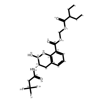 CCC(CC)C(=O)OCOC(=O)c1cccc2c1OB(O)[C@@H](NC(=O)CC(F)(F)F)C2